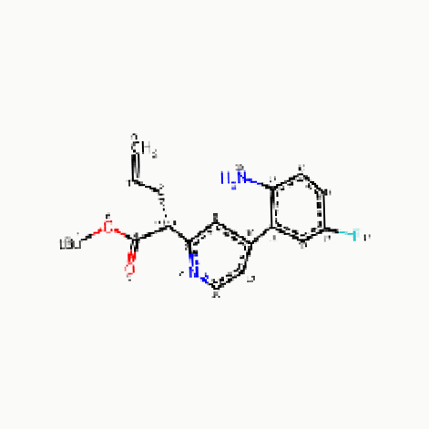 C=CC[C@@H](C(=O)OC(C)(C)C)c1cc(-c2cc(F)ccc2N)ccn1